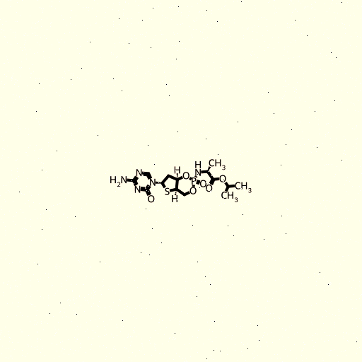 CC(C)OC(=O)[C@H](C)NP1(=O)OC[C@H]2S[C@@H](n3cnc(N)nc3=O)C[C@H]2O1